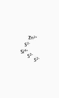 [S-2].[S-2].[S-2].[Si+4].[Zn+2]